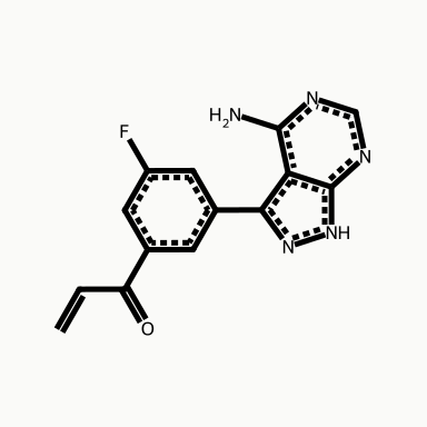 C=CC(=O)c1cc(F)cc(-c2n[nH]c3ncnc(N)c23)c1